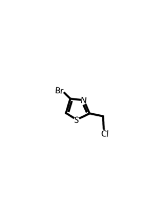 ClCc1nc(Br)cs1